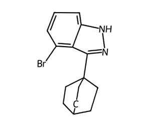 Brc1cccc2[nH]nc(C34CCC(CC3)CC4)c12